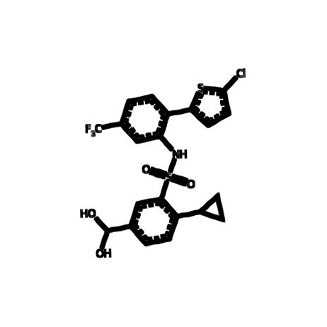 O=S(=O)(Nc1cc(C(F)(F)F)ccc1-c1ccc(Cl)s1)c1cc(C(O)O)ccc1C1CC1